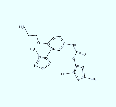 CCn1nc(C)cc1OC(=O)Nc1ccc(OCCN)c(-c2ccnn2C)c1